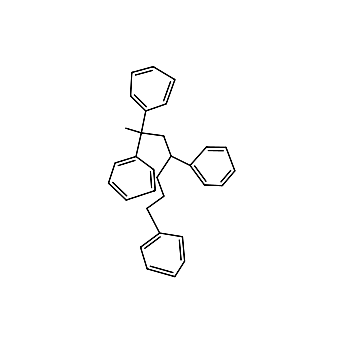 CC(CC(CCCc1ccccc1)c1ccccc1)(c1ccccc1)c1ccccc1